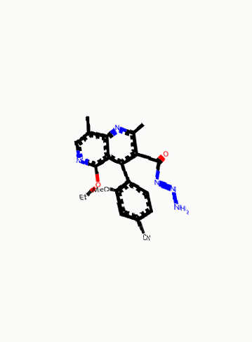 CCOc1ncc(C)c2nc(C)c(C(=O)N=NN)c(-c3ccc(C#N)cc3OC)c12